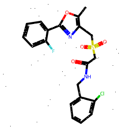 Cc1oc(-c2ccccc2F)nc1CS(=O)(=O)CC(=O)NCc1ccccc1Cl